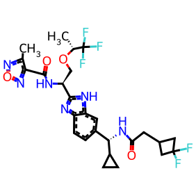 Cc1nonc1C(=O)N[C@@H](CO[C@H](C)C(F)(F)F)c1nc2ccc([C@H](NC(=O)CC3CC(F)(F)C3)C3CC3)cc2[nH]1